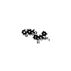 CC(C(=O)Nc1cnc2[nH]cc(C=C(C(N)=O)c3ccccc3)c2c1)c1ccc(N2CCCCC2=O)cc1